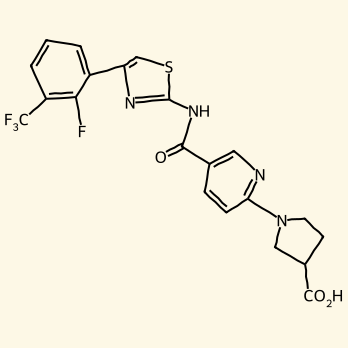 O=C(Nc1nc(-c2cccc(C(F)(F)F)c2F)cs1)c1ccc(N2CCC(C(=O)O)C2)nc1